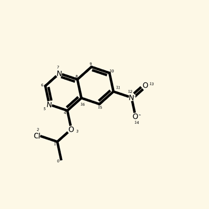 CC(Cl)Oc1ncnc2ccc([N+](=O)[O-])cc12